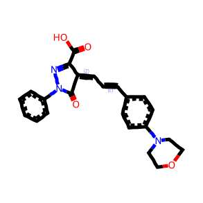 O=C(O)C1=NN(c2ccccc2)C(=O)/C1=C\C=C\c1ccc(N2CCOCC2)cc1